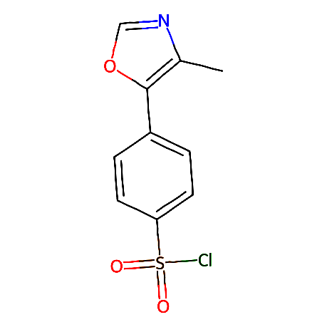 Cc1ncoc1-c1ccc(S(=O)(=O)Cl)cc1